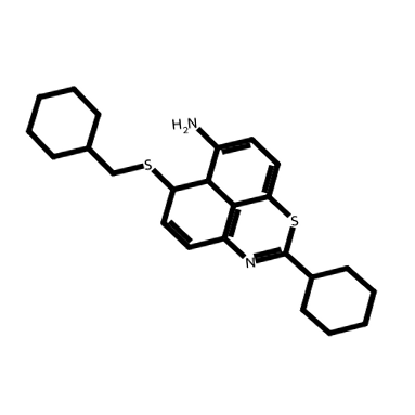 NC1=CC=C2SC(C3CCCCC3)=NC3=C2C1C(SCC1CCCCC1)C=C3